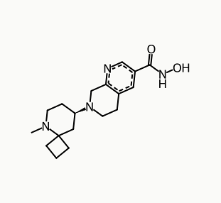 CN1CC[C@@H](N2CCc3cc(C(=O)NO)cnc3C2)CC12CCC2